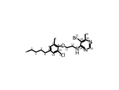 CCCCCc1cc(C)c(OCCNc2ncnc(C)c2Br)c(Cl)c1